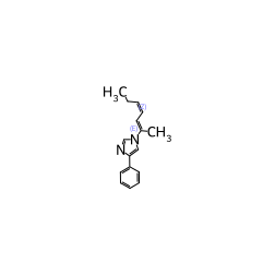 CC/C=C\C=C(/C)n1cnc(-c2ccccc2)c1